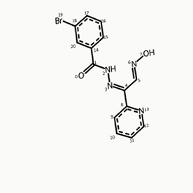 O=C(NN=C(C=NO)c1ccccn1)c1cccc(Br)c1